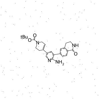 CC(C)(C)OC(=O)N1CC=C(c2cnc(N)c(-c3ccc4c(c3)CCNC4=O)c2)CC1